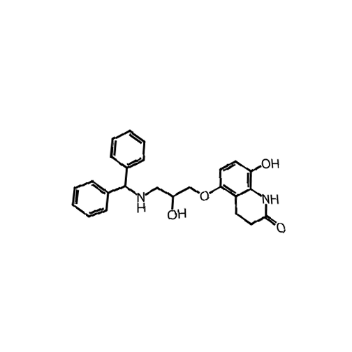 O=C1CCc2c(OCC(O)CNC(c3ccccc3)c3ccccc3)ccc(O)c2N1